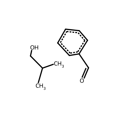 CC(C)CO.O=Cc1ccccc1